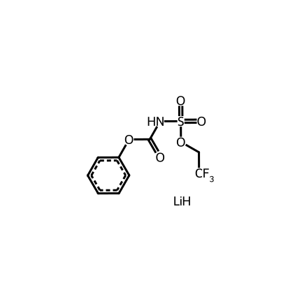 O=C(NS(=O)(=O)OCC(F)(F)F)Oc1ccccc1.[LiH]